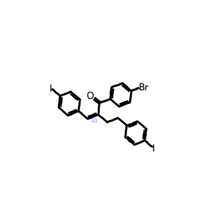 O=C(/C(=C\c1ccc(I)cc1)CCc1ccc(I)cc1)c1ccc(Br)cc1